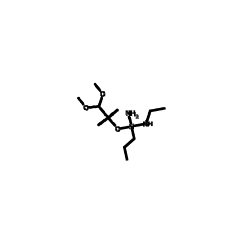 CCC[Si](N)(NCC)OC(C)(C)C(OC)OC